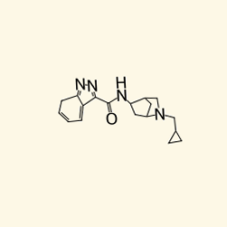 O=C(NC1CC2CC1CN2CC1CC1)C1=NN=C2CC=CC=C21